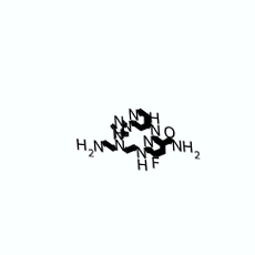 NCCNCCNc1nc(NC2=CC=NC(n3cncn3)C2)c(C(N)=O)cc1F